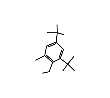 C[CH]c1c(C)cc(C(C)(C)C)cc1C(C)(C)C